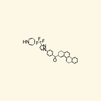 C1=CC=CNC=C1.O=C(c1ccc(-n2ccc(C(F)(F)F)n2)cc1)C1C=c2c(ccc3c2=CCc2ccccc2-3)CC1